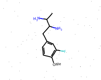 COc1ccc(CC(N)C(C)N)cc1F